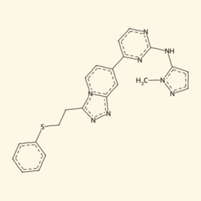 Cn1nccc1Nc1nccc(-c2ccn3c(CCSc4ccccc4)nnc3c2)n1